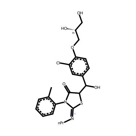 CCC/N=C1/SC(C(O)c2ccc(OC[C@H](O)CO)c(Cl)c2)C(=O)N1c1ccccc1C